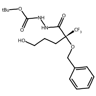 CC(C)(C)OC(=O)NNC(=O)[C@@](CCCO)(OCc1ccccc1)C(F)(F)F